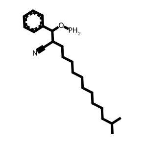 CC(C)CCCCCCCCCCC(C#N)C(OP)c1ccccc1